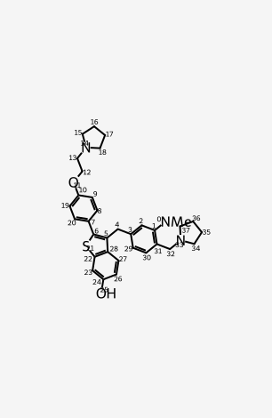 CNc1cc(Cc2c(-c3ccc(OCCN4CCCC4)cc3)sc3cc(O)ccc23)ccc1CN1CCCC1